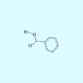 CCO[C](Cl)c1ccccc1